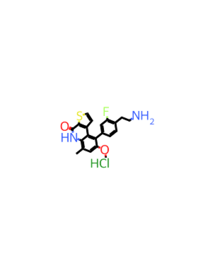 COc1cc(C)c2[nH]c(=O)c3sccc3c2c1-c1ccc(CCN)c(F)c1.Cl